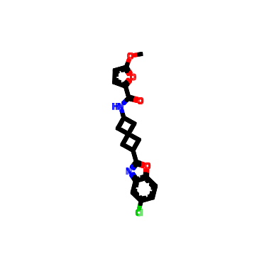 COc1ccc(C(=O)NC2CC3(C2)CC(c2nc4cc(Cl)ccc4o2)C3)o1